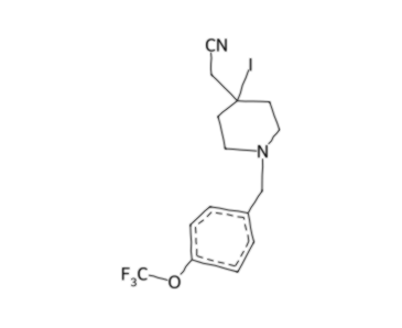 N#CCC1(I)CCN(Cc2ccc(OC(F)(F)F)cc2)CC1